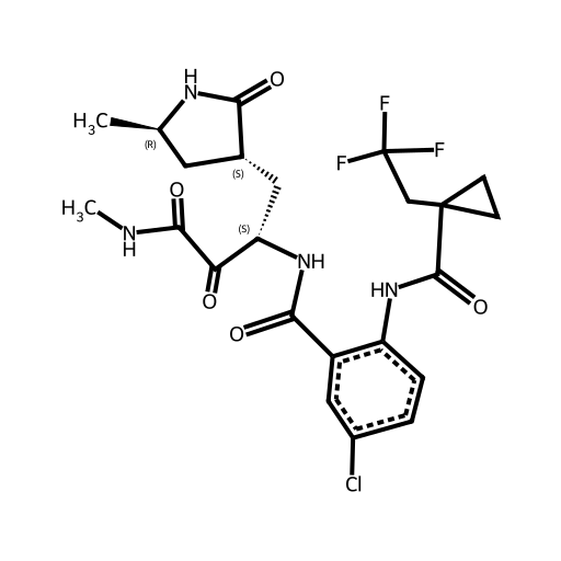 CNC(=O)C(=O)[C@H](C[C@@H]1C[C@@H](C)NC1=O)NC(=O)c1cc(Cl)ccc1NC(=O)C1(CC(F)(F)F)CC1